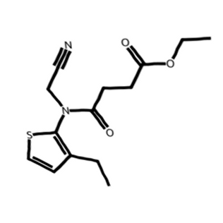 CCOC(=O)CCC(=O)N(CC#N)c1sccc1CC